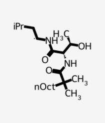 CCCCCCCCC(C)(C)C(=O)N[C@H](C(=O)N[CH]CC(C)C)[C@@H](C)O